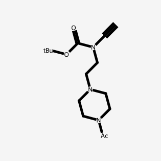 C#CN(CCN1CCN(C(C)=O)CC1)C(=O)OC(C)(C)C